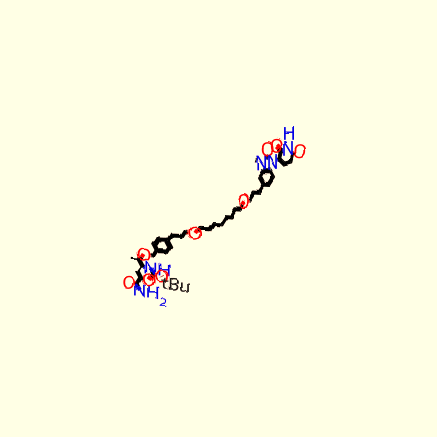 C[C@@H](OCc1ccc(CCCOCCCCCCCCOCCCc2ccc3c(c2)n(C)c(=O)n3C2CCC(=O)NC2=O)cc1)[C@H](CCC(N)=O)NC(=O)OC(C)(C)C